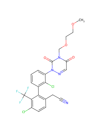 COCCOCn1c(=O)cnn(-c2cccc(-c3c(CC#N)ccc(Cl)c3C(F)(F)F)c2Cl)c1=O